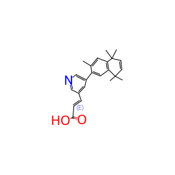 Cc1cc2c(cc1-c1cncc(/C=C/C(=O)O)c1)C(C)(C)C=CC2(C)C